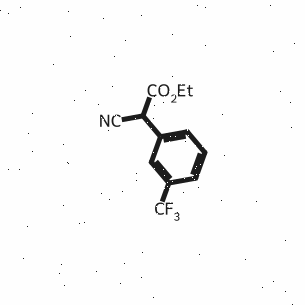 CCOC(=O)C(C#N)c1cccc(C(F)(F)F)c1